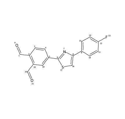 O=Cc1ccc(-c2nc(-c3ccc(F)cc3)cs2)cc1C=O